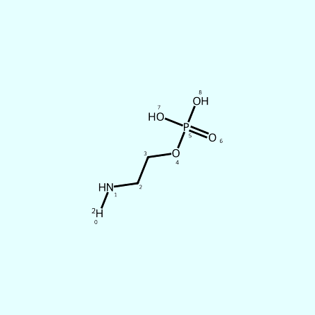 [2H]NCCOP(=O)(O)O